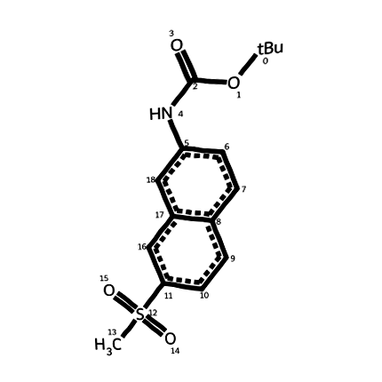 CC(C)(C)OC(=O)Nc1ccc2ccc(S(C)(=O)=O)cc2c1